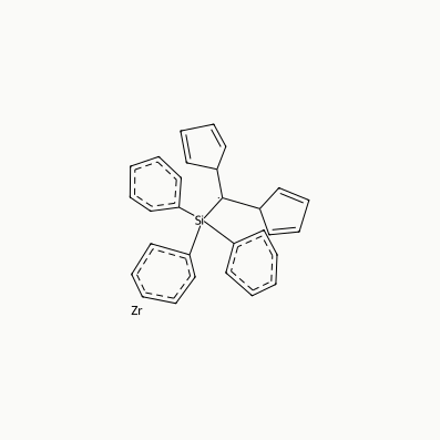 C1=CC([C](C2C=CC=C2)[Si](c2ccccc2)(c2ccccc2)c2ccccc2)C=C1.[Zr]